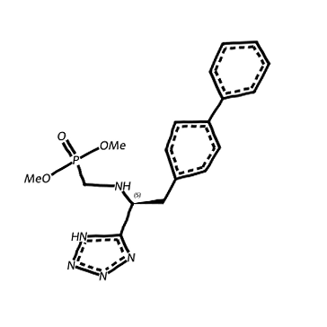 COP(=O)(CN[C@@H](Cc1ccc(-c2ccccc2)cc1)c1nnn[nH]1)OC